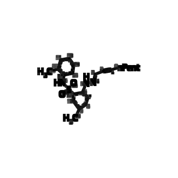 CCCCCC#C/C=N/Nc1ccc(C)cc1S(=O)(=O)Nc1ccccc1C